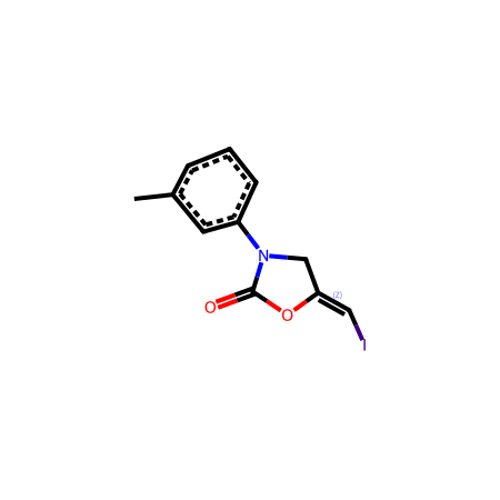 Cc1cccc(N2C/C(=C/I)OC2=O)c1